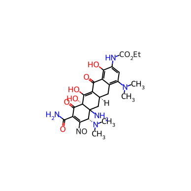 CCOC(=O)Nc1cc(N(C)C)c2c(c1O)C(=O)C1=C(O)[C@]3(O)C(=O)C(C(N)=O)=C(N=O)[C@@H](N(C)C)C3(N)C[C@@H]1C2